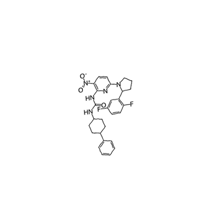 O=C(Nc1nc(N2CCCC2c2cc(F)ccc2F)ccc1[N+](=O)[O-])NC1CCC(c2ccccc2)CC1